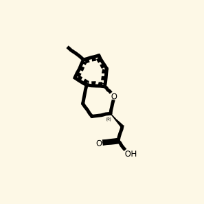 Cc1ccc2c(c1)CC[C@H](CC(=O)O)O2